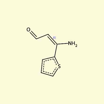 N/C(=C/C=O)c1cccs1